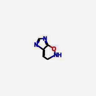 C1=NC2=CCNOC2=N1